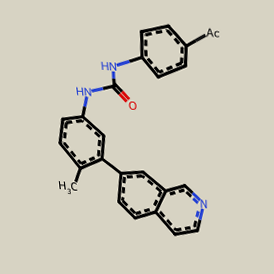 CC(=O)c1ccc(NC(=O)Nc2ccc(C)c(-c3ccc4ccncc4c3)c2)cc1